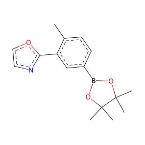 Cc1ccc(B2OC(C)(C)C(C)(C)O2)cc1-c1ncco1